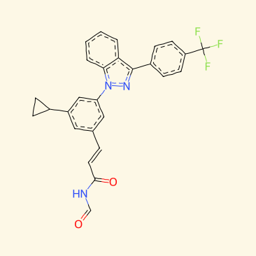 O=CNC(=O)C=Cc1cc(C2CC2)cc(-n2nc(-c3ccc(C(F)(F)F)cc3)c3ccccc32)c1